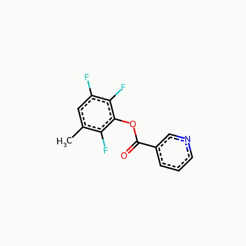 Cc1cc(F)c(F)c(OC(=O)c2cccnc2)c1F